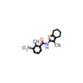 Cc1c(C(=O)Nc2sc3c(c2C#N)CCCC3)cccc1[N+](=O)[O-]